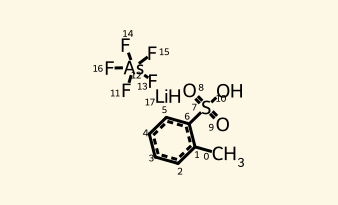 Cc1ccccc1S(=O)(=O)O.F[As](F)(F)(F)F.[LiH]